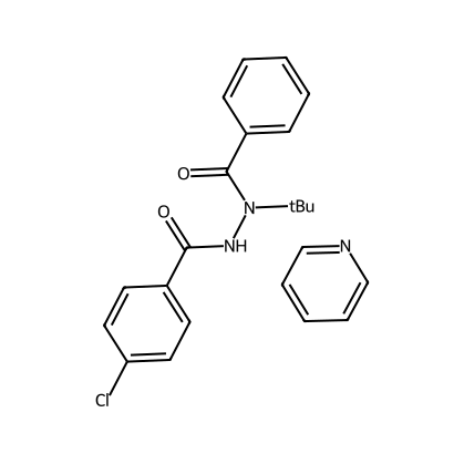 CC(C)(C)N(NC(=O)c1ccc(Cl)cc1)C(=O)c1ccccc1.c1ccncc1